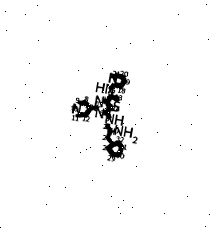 N[C@H](CNc1nc(-c2ccncc2)nc2c(Nc3ccccn3)csc12)Cc1ccccc1